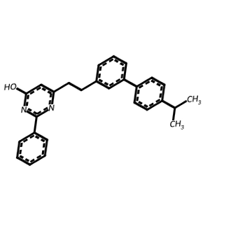 CC(C)c1ccc(-c2cccc(CCc3cc(O)nc(-c4ccccc4)n3)c2)cc1